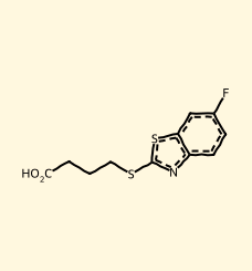 O=C(O)CCCSc1nc2ccc(F)cc2s1